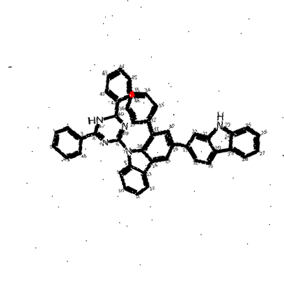 c1ccc(C2=NC(n3c4ccccc4c4cc(-c5ccc6c(c5)[nH]c5ccccc56)cc(-c5ccccc5)c43)=NC(c3ccccc3)N2)cc1